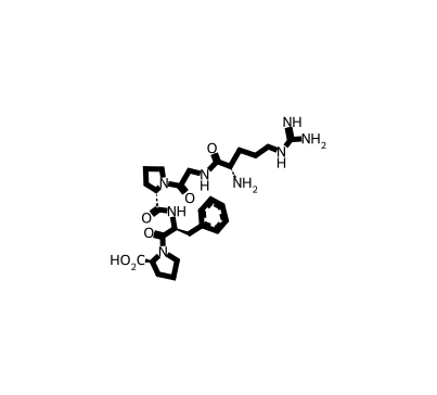 N=C(N)NCCC[C@H](N)C(=O)NCC(=O)N1CCC[C@H]1C(=O)N[C@@H](Cc1ccccc1)C(=O)N1CCC[C@H]1C(=O)O